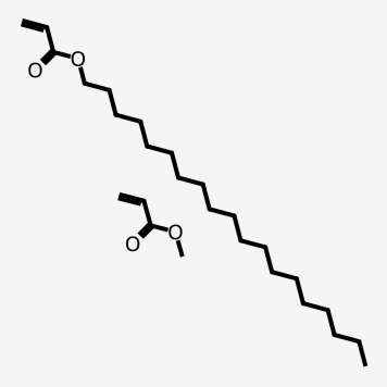 C=CC(=O)OC.C=CC(=O)OCCCCCCCCCCCCCCCCCCC